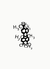 CN1C(=O)c2ccc3c4c(ccc(c24)C1=O)C1(C)CC3(C)c2cccc3c(C(C)(C)Br)ccc1c23